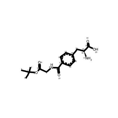 CC(C)(C)OC(=O)CNC(=O)c1ccc(C[C@H](N)C(=O)O)cc1